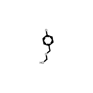 [O]c1ccc(COCO)cc1